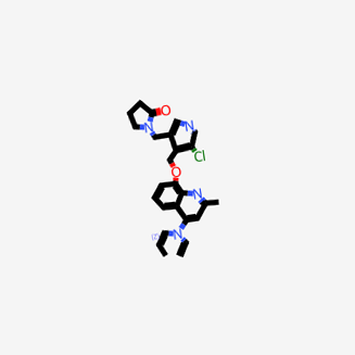 C=CN(/C=C\C)c1cc(C)nc2c(OCc3c(Cl)cncc3CN3CCCC3=O)cccc12